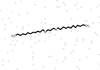 CCCCCCCCCCCCOCCCOCCCCCCCCCCCC